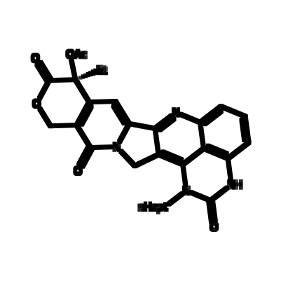 CCCCCCCN1C(=O)Nc2cccc3nc4c(c1c23)Cn1c-4cc2c(c1=O)COC(=O)[C@@]2(CC)OC(C)=O